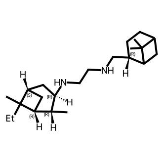 CCC1(C)[C@H]2C[C@@H]1[C@@H](C)[C@H](NCCNC[C@@H]1CCC3CC1C3(C)C)C2